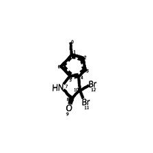 Cc1ccc2c(c1)NC(=O)C2(Br)Br